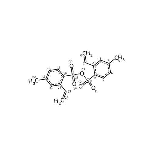 C=Cc1cc(C)ccc1S(=O)(=O)OS(=O)(=O)c1ccc(C)cc1C=C